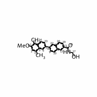 COc1cc(C)c2cc(-c3ccc4cc(C(=O)NCO)ccc4c3)ccc2c1C